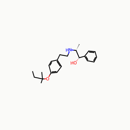 CCC(C)(C)Oc1ccc(CCN[C@H](C)[C@@H](O)c2ccccc2)cc1